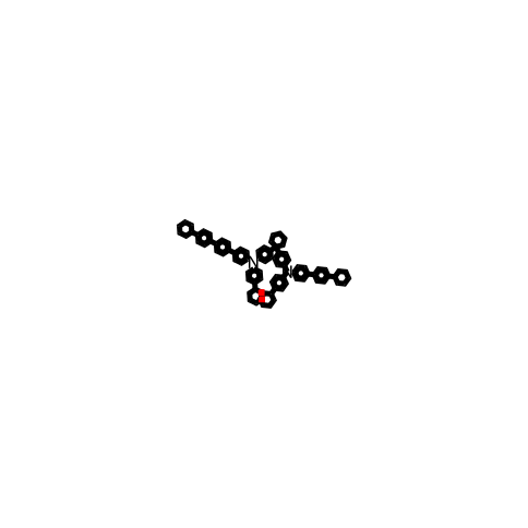 c1cc(-c2ccc(N(c3ccc(C4CCCCC4)cc3)c3ccc(C4(c5ccc(N(c6ccc(-c7ccc(C8CCCCC8)cc7)cc6)c6ccc(C7CCCCC7)cc6)cc5)CCCCC4)cc3)cc2)ccc1-c1ccc(C2CCCCC2)cc1